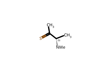 CN[C@@H](C)C(C)=S